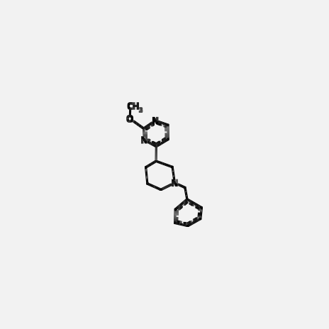 COc1nccc(C2CCCN(Cc3ccccc3)C2)n1